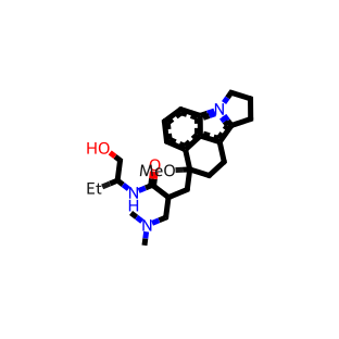 CCC(CO)NC(=O)C(CN(C)C)CC1(OC)CCc2c3n(c4cccc1c24)CCC3